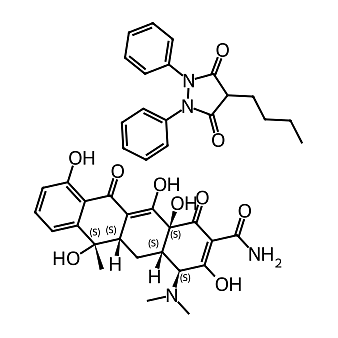 CCCCC1C(=O)N(c2ccccc2)N(c2ccccc2)C1=O.CN(C)[C@@H]1C(O)=C(C(N)=O)C(=O)[C@@]2(O)C(O)=C3C(=O)c4c(O)cccc4[C@@](C)(O)[C@H]3C[C@@H]12